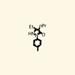 CCCc1c(CC)[nH]n(-c2ccc(C)cc2)c1=O